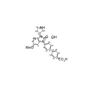 COc1cnc2c(c1)n(-c1ccc(-c3ccc(C(=O)O)cc3)cc1)c(=O)n2C1CCNC1.Cl